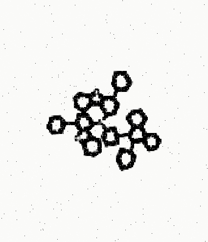 c1ccc(-c2c(-c3cccc(N(c4ccc(-c5ccccc5)c5oc6ccccc6c45)c4ccc(-c5ccccc5)c5oc6ccccc6c45)c3)c3ccccc3c3ccccc23)cc1